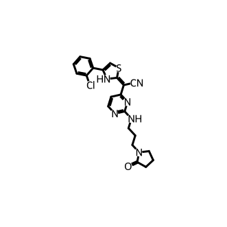 N#C/C(=C1/NC(c2ccccc2Cl)=CS1)c1ccnc(NCCCN2CCCC2=O)n1